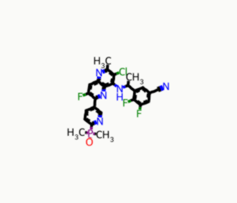 Cc1nc2cc(F)c(-c3ccc(P(C)(C)=O)nc3)nc2c(NC(C)c2cc(C#N)cc(F)c2F)c1Cl